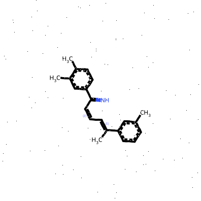 C/C(=C\C=C/C(=N)c1ccc(C)c(C)c1)c1cccc(C)c1